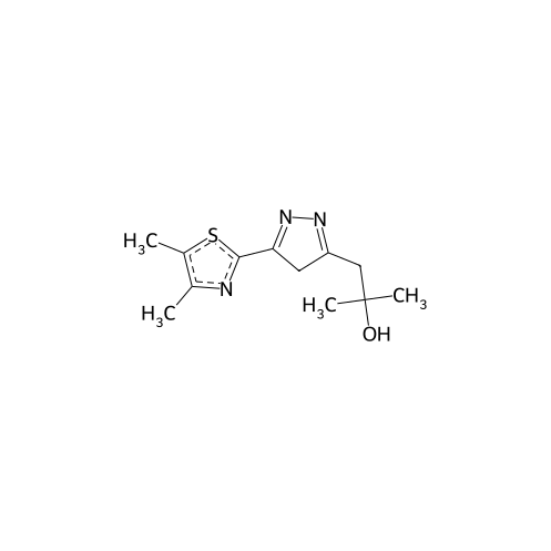 Cc1nc(C2=NN=C(CC(C)(C)O)C2)sc1C